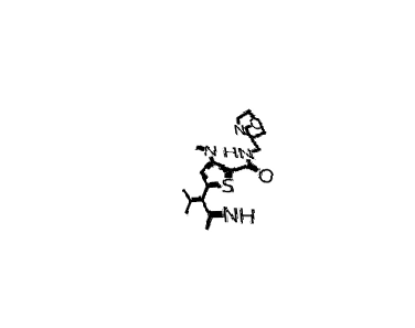 C=Nc1cc(C(C(C)=N)=C(C)C)sc1C(=O)NCC1CC2CCN1CC2